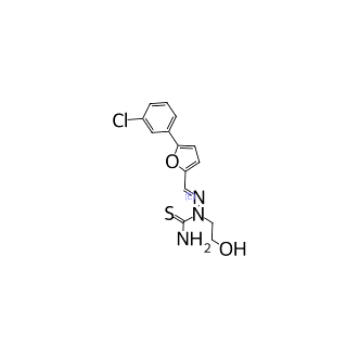 NC(=S)N(CCO)/N=C/c1ccc(-c2cccc(Cl)c2)o1